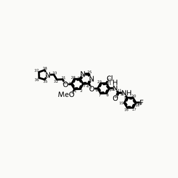 COc1cc2c(Oc3ccc(NC(=O)Nc4cccc(F)c4)c(Cl)c3)ncnc2cc1OCCCN1CCCC1